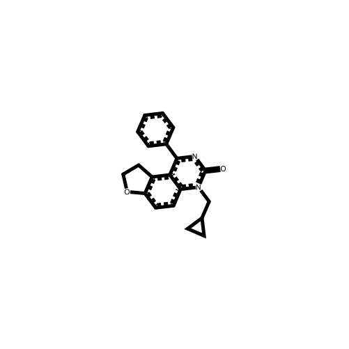 O=c1nc(-c2ccccc2)c2c3c(ccc2n1CC1CC1)OCC3